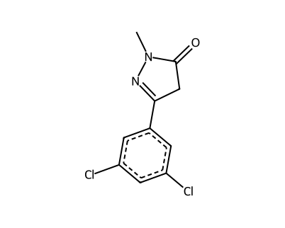 CN1N=C(c2cc(Cl)cc(Cl)c2)CC1=O